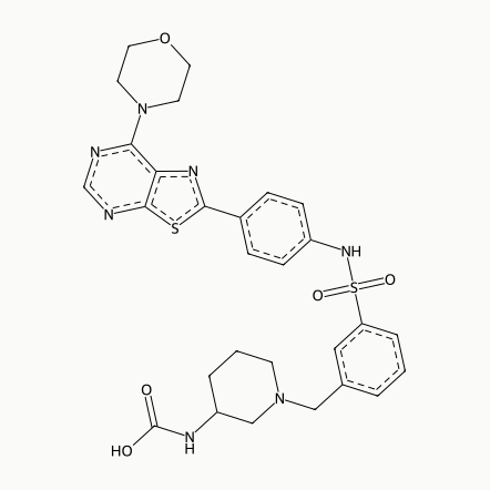 O=C(O)NC1CCCN(Cc2cccc(S(=O)(=O)Nc3ccc(-c4nc5c(N6CCOCC6)ncnc5s4)cc3)c2)C1